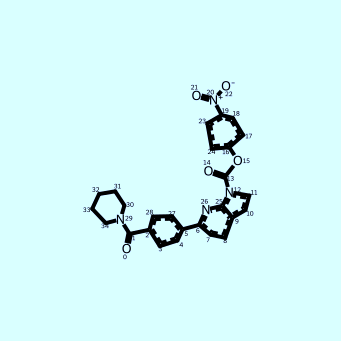 O=C(c1ccc(-c2ccc3ccn(C(=O)Oc4ccc([N+](=O)[O-])cc4)c3n2)cc1)N1CCCCC1